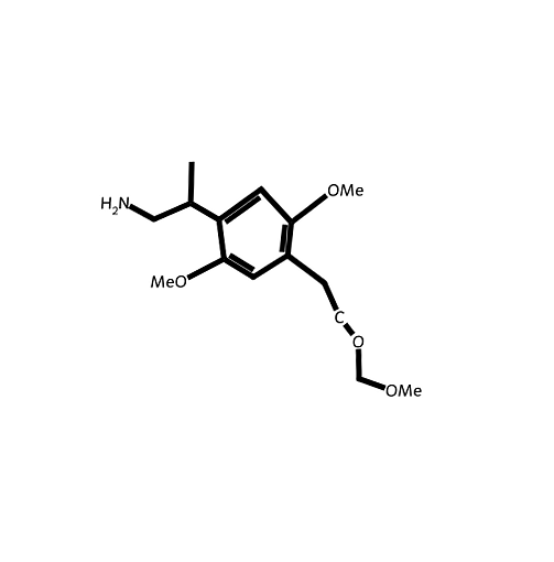 COCOCCc1cc(OC)c(C(C)CN)cc1OC